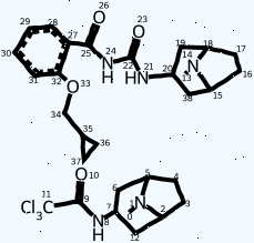 CN1C2CCC1CC(NC(=O)C(Cl)(Cl)Cl)C2.CN1C2CCC1CC(NC(=O)NC(=O)c1ccccc1OCC1CC1)C2